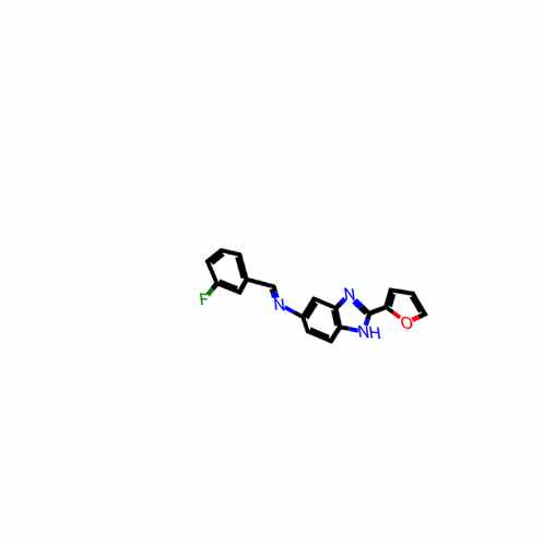 Fc1cccc(C=Nc2ccc3[nH]c(-c4ccco4)nc3c2)c1